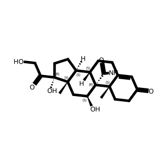 C[C@]12CCC(=O)C=C1CC[C@H]1[C@@H]3CC[C@](O)(C(=O)CO)[C@@]3(C)C[C@H](O)[C@@]12C(N)=O